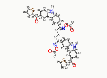 CC(=O)O/N=C(/CCC/C(=N/OC(C)=O)c1ccc2c(c1)c1cc(C(=O)c3cccs3)ccc1n2C)c1ccc2c(c1)c1cc(C(=O)c3cccs3)ccc1n2C